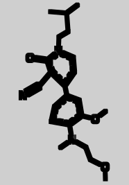 COCCN(C)c1ccc(-c2ccn(CCC(C)C)c(=O)c2C#N)cc1OC